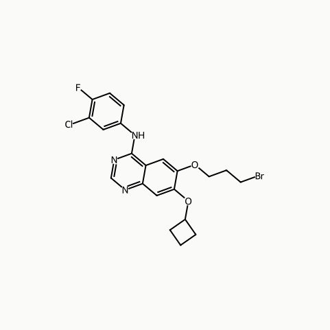 Fc1ccc(Nc2ncnc3cc(OC4CCC4)c(OCCCBr)cc23)cc1Cl